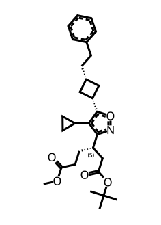 COC(=O)CC[C@@H](CC(=O)OC(C)(C)C)c1noc([C@H]2C[C@@H](CCc3ccccc3)C2)c1C1CC1